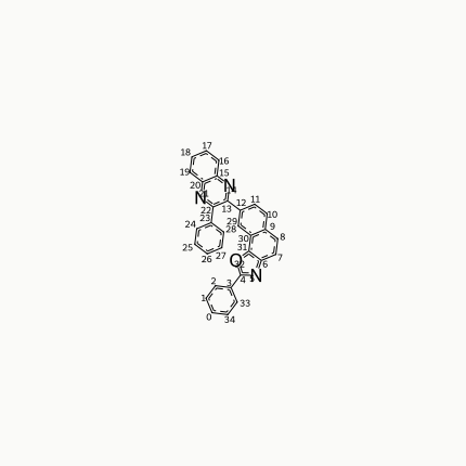 c1ccc(-c2nc3ccc4ccc(-c5nc6ccccc6nc5-c5ccccc5)cc4c3o2)cc1